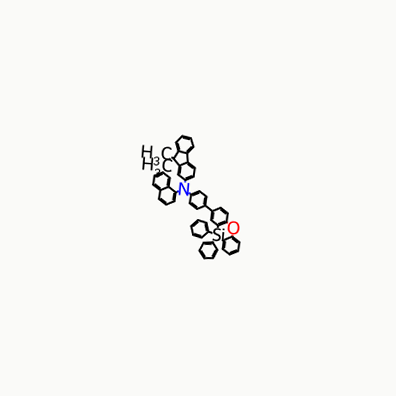 CC1(C)c2ccccc2-c2ccc(N(c3ccc(-c4ccc5c(c4)[Si](c4ccccc4)(c4ccccc4)c4ccccc4O5)cc3)c3cccc4ccccc34)cc21